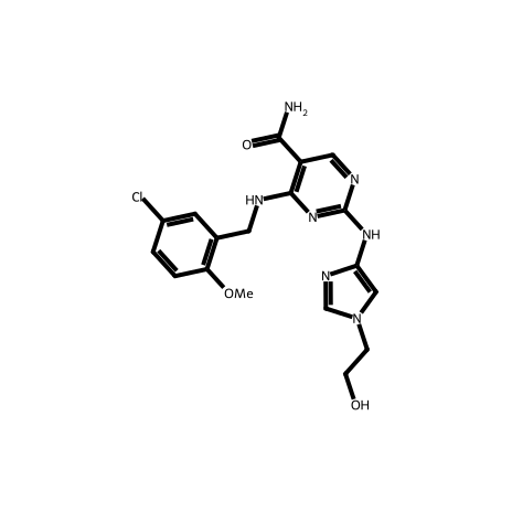 COc1ccc(Cl)cc1CNc1nc(Nc2cn(CCO)cn2)ncc1C(N)=O